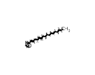 CCCCCCCCCCCCC/C=C/C=C/C1=NCCO1